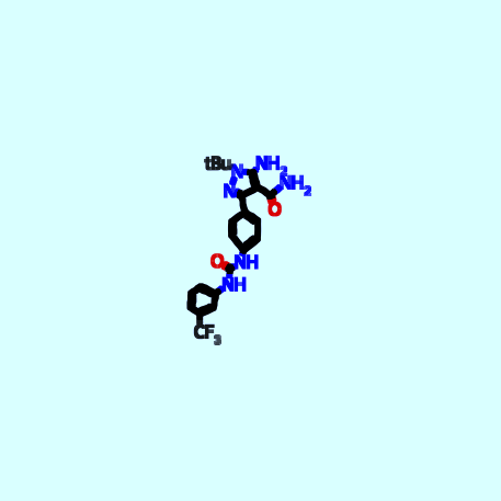 CC(C)(C)n1nc(-c2ccc(NC(=O)Nc3cccc(C(F)(F)F)c3)cc2)c(C(N)=O)c1N